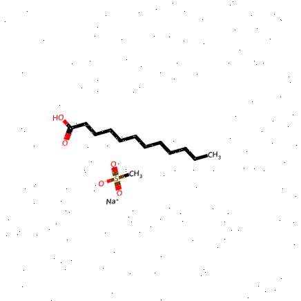 CCCCCCCCCCCC(=O)O.CS(=O)(=O)[O-].[Na+]